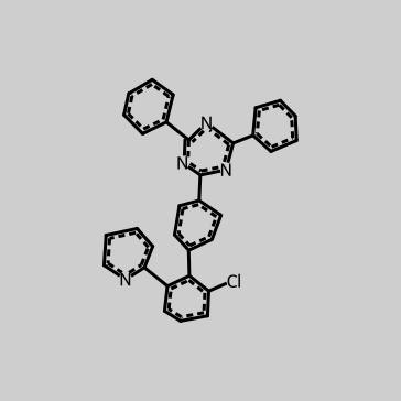 Clc1cccc(-c2ccccn2)c1-c1ccc(-c2nc(-c3ccccc3)nc(-c3ccccc3)n2)cc1